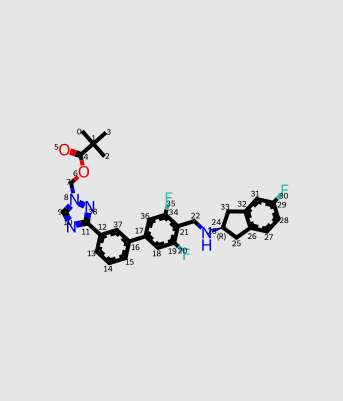 CC(C)(C)C(=O)OCn1cnc(-c2cccc(-c3cc(F)c(CN[C@@H]4Cc5ccc(F)cc5C4)c(F)c3)c2)n1